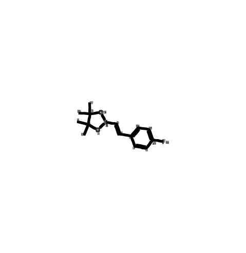 CC1(C)OB(C=Cc2ccc(F)cc2)OC1(C)C